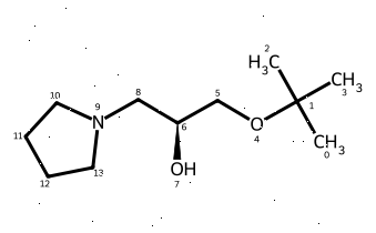 CC(C)(C)OC[C@@H](O)CN1CCCC1